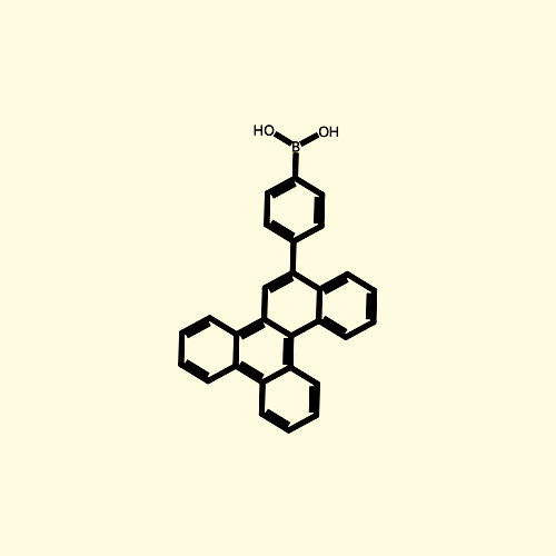 OB(O)c1ccc(-c2cc3c4ccccc4c4ccccc4c3c3ccccc23)cc1